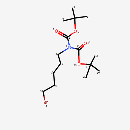 CC(C)(C)OC(=O)N(CCCCCBr)C(=O)OC(C)(C)C